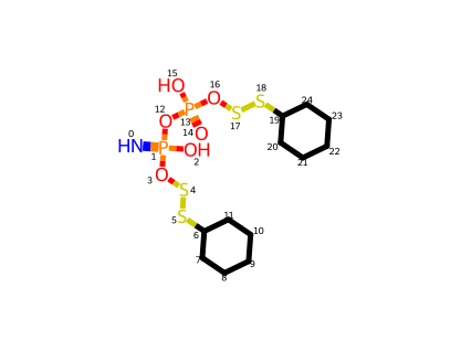 N=P(O)(OSSC1CCCCC1)OP(=O)(O)OSSC1CCCCC1